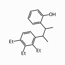 CCc1ccc(C(C)C(C)c2ccccc2O)c(CC)c1CC